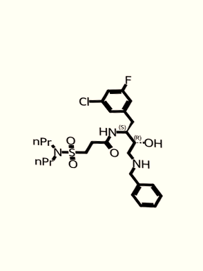 CCCN(CCC)S(=O)(=O)CCC(=O)N[C@@H](Cc1cc(F)cc(Cl)c1)[C@H](O)CNCc1ccccc1